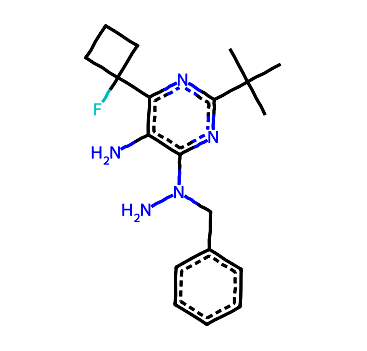 CC(C)(C)c1nc(N(N)Cc2ccccc2)c(N)c(C2(F)CCC2)n1